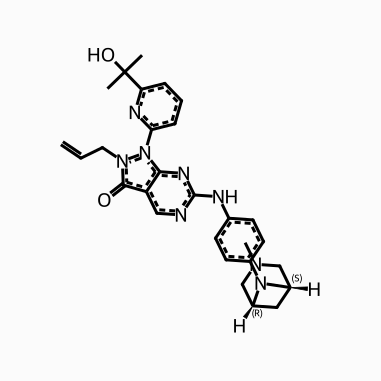 C=CCn1c(=O)c2cnc(Nc3ccc(N4[C@@H]5C[C@H]4CN(C)C5)cc3)nc2n1-c1cccc(C(C)(C)O)n1